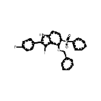 O=S(=O)(c1ccccc1)c1ccc2[nH]c(-c3ccc(F)cc3)c(I)c2c1OCc1ccccc1